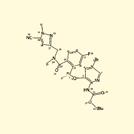 C[C@@H](Oc1cc(Br)cnc1NC(=O)OC(C)(C)C)c1cc(F)ccc1C(=O)N(C)Cc1cc(C#N)n(C)n1